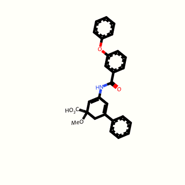 COC1(C(=O)O)C=C(NC(=O)c2cccc(Oc3ccccc3)c2)C=C(c2ccccc2)C1